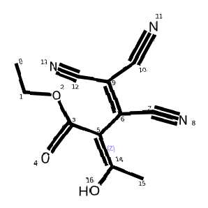 CCOC(=O)/C(C(C#N)=C(C#N)C#N)=C(/C)O